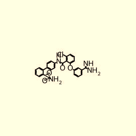 N=C(N)c1cccc(Oc2cccc(Cl)c2C(=O)Nc2ccc(-c3ccccc3S(N)(=O)=O)cc2)c1